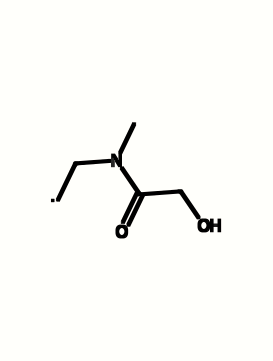 [CH2]CN(C)C(=O)CO